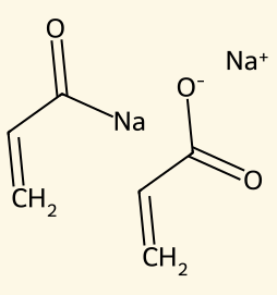 C=CC(=O)[O-].C=C[C](=O)[Na].[Na+]